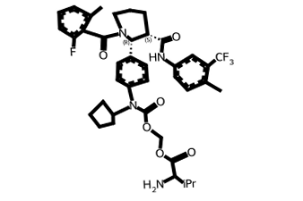 Cc1ccc(NC(=O)[C@H]2CCCN(C(=O)c3c(C)cccc3F)[C@H]2c2ccc(N(C(=O)OCOC(=O)C(N)C(C)C)C3CCCC3)cc2)cc1C(F)(F)F